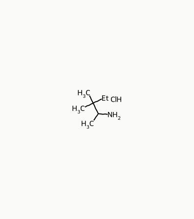 CCC(C)(C)C(C)N.Cl